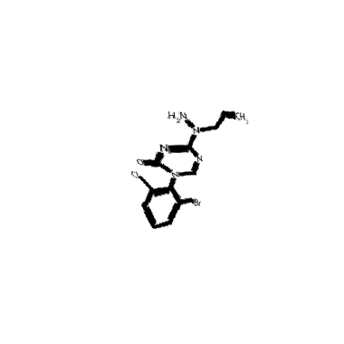 C=CCN(N)c1ncn(-c2c(Cl)cccc2Br)c(=O)n1